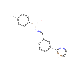 Cc1ccc([S+]([O-])N=Cc2cccc(-c3nccs3)c2)cc1